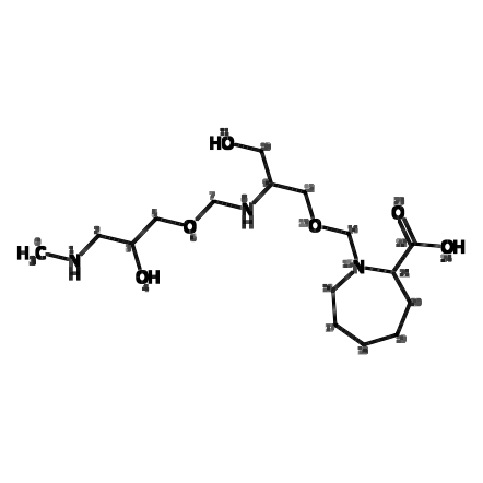 CNCC(O)COCNC(CO)COCN1CCCCCC1C(=O)O